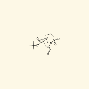 CC(C)(C)OC(=O)N1C[C@H](C=O)N2C[C@H]1CCCS2(=O)=O